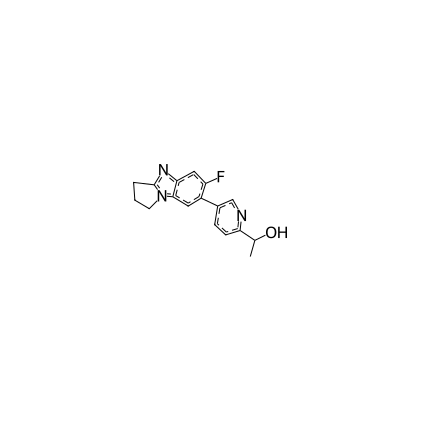 CC(O)c1ccc(-c2cc3c(cc2F)nc2n3CCC2)cn1